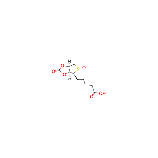 O=C(O)CCCC[C@H]1[C@H]2OC(=O)O[C@H]2C[S+]1[O-]